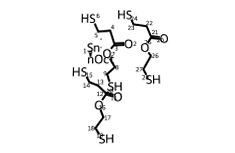 CCCCCCC[CH2][Sn].O=C(CCS)OCCS.O=C(CCS)OCCS.O=C(CCS)OCCS